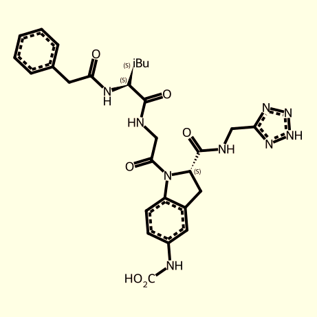 CC[C@H](C)[C@H](NC(=O)Cc1ccccc1)C(=O)NCC(=O)N1c2ccc(NC(=O)O)cc2C[C@H]1C(=O)NCc1nn[nH]n1